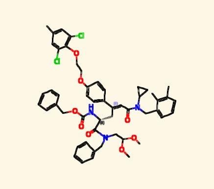 COC(CN(Cc1ccccc1)C(=O)[C@@H](C/C(=C\C(=O)N(Cc1cccc(C)c1C)C1CC1)c1ccc(OCCOc2c(Cl)cc(C)cc2Cl)cc1)NC(=O)OCc1ccccc1)OC